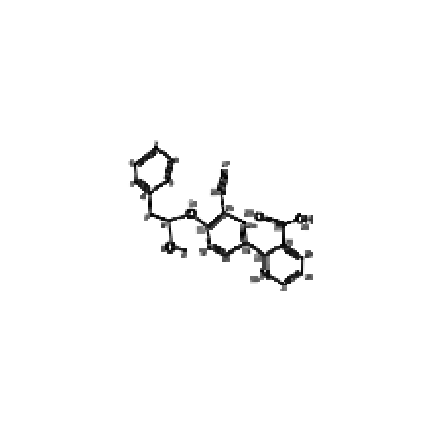 COC(Cc1ccccc1)Oc1ccc(-c2ncccc2C(=O)O)cc1C#N